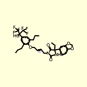 CCCc1cc(C(O)(C(F)(F)F)C(F)(F)F)cc(CCC)c1OC/C=C/CN1C(=O)NC(CC)(c2ccc3c(c2)OCO3)C1=O